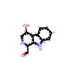 O=Cc1ncc(O)c2c1[nH]c1ccccc12